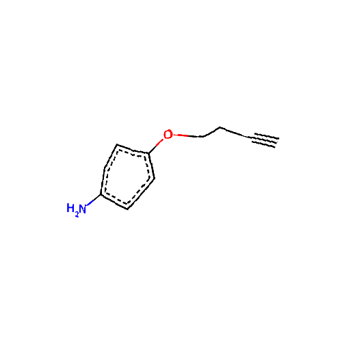 C#CCCOc1ccc(N)cc1